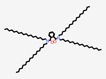 CCCCCCCCCCCCCCCCCCN(CCCCCCCCCCCCCCCCCC)C(=O)c1ccccc1C(=O)N(CCCCCCCCCCCCCCCCCC)CCCCCCCCCCCCCCCCCC